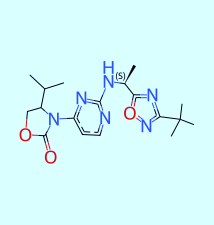 CC(C)C1COC(=O)N1c1ccnc(N[C@@H](C)c2nc(C(C)(C)C)no2)n1